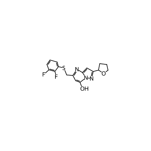 Oc1cc(CSc2cccc(F)c2F)nc2cc(C3CCCO3)nn12